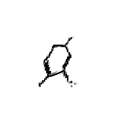 CC1C=C(O)C(F)=CC1